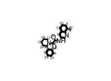 O=C(Nc1cnc2c(F)cccc2c1)C(=O)N1CCCC[C@H]1c1ccccc1